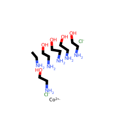 CCN.NCCO.NCCO.NCCO.NCCO.NCCO.[Cl-].[Cl-].[Co+2]